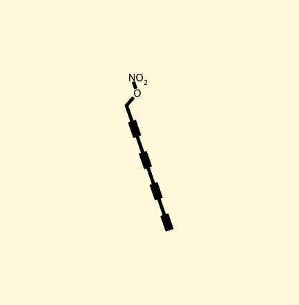 C#CC#CC#CC#CCO[N+](=O)[O-]